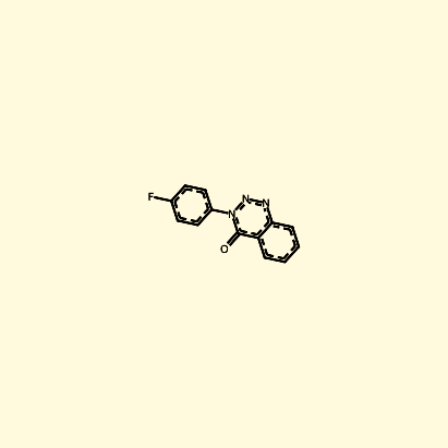 O=c1c2ccccc2nnn1-c1ccc(F)cc1